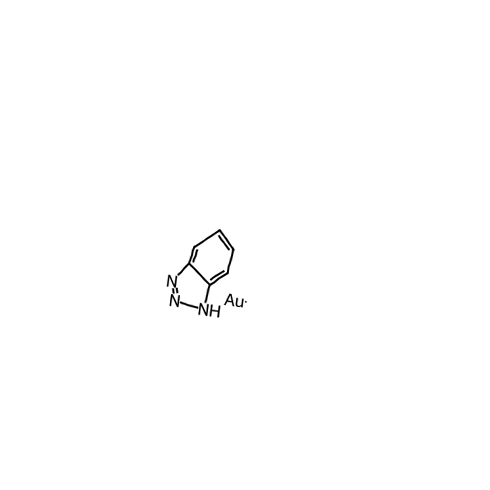 [Au].c1ccc2[nH]nnc2c1